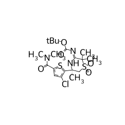 CN(C)C(=O)c1cc(Cl)c([C@]2(C)CS(=O)(=O)C(C)(C)/C(=N/C(=O)OC(C)(C)C)N2)s1